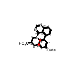 COc1cccc(-c2cccc3ncnc(N4CCCC(C(=O)O)C4)c23)c1